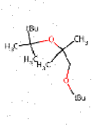 CC(C)(C)OCC(C)(C)OC(C)(C)C(C)(C)C